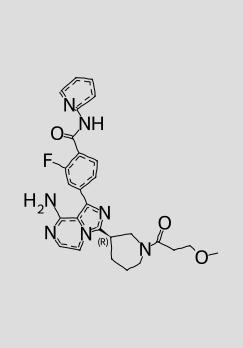 COCCC(=O)N1CCC[C@@H](c2nc(-c3ccc(C(=O)Nc4ccccn4)c(F)c3)c3c(N)nccn23)C1